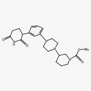 CC(C)(C)OC(=O)N1CCCC(N2CCN(c3cccc(C4CCC(=O)NC4=O)c3)CC2)C1